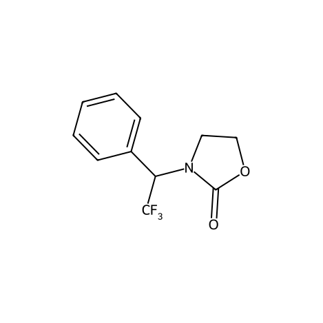 O=C1OCCN1C(c1ccccc1)C(F)(F)F